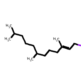 C/C(=C\CI)CCCC(C)CCCC(C)C